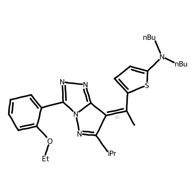 CCCCN(CCCC)c1ccc(/C(C)=c2/c(C(C)C)nn3c(-c4ccccc4OCC)nnc23)s1